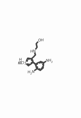 Cl.Cl.Nc1ccc(N)c(-c2cscc2CNCCO)c1